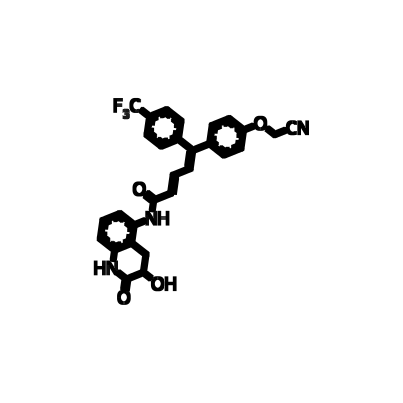 N#CCOc1ccc(C(=CC=CC(=O)Nc2cccc3c2CC(O)C(=O)N3)c2ccc(C(F)(F)F)cc2)cc1